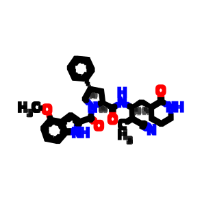 COc1cccc2[nH]c(C(=O)N3C[C@H](c4ccccc4)C[C@H]3C(=O)N[C@@H](C[C@@H]3CCCNC3=O)C(C)C#N)cc12